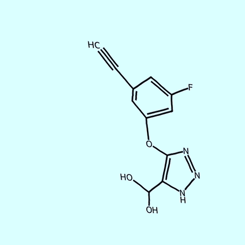 C#Cc1cc(F)cc(Oc2nn[nH]c2C(O)O)c1